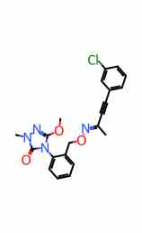 COc1nn(C)c(=O)n1-c1ccccc1CO/N=C(\C)C#Cc1cccc(Cl)c1